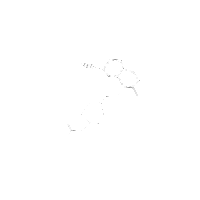 N#Cc1ccc2ccc(=O)n(CCN3CCC(NC(=O)O)CC3)c2c1